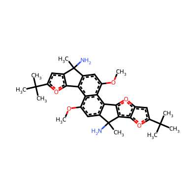 COc1cc2c(c3c(OC)cc4c(c13)-c1oc(C(C)(C)C)cc1C4(C)N)-c1oc3cc(C(C)(C)C)oc3c1C2(C)N